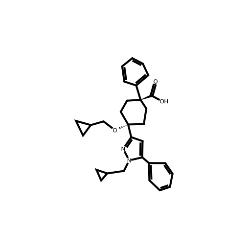 O=C(O)[C@]1(c2ccccc2)CC[C@](OCC2CC2)(c2cc(-c3ccccc3)n(CC3CC3)n2)CC1